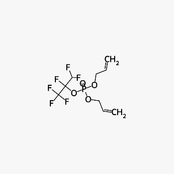 C=CCOP(=O)(OCC=C)OC(F)(C(F)F)C(F)(F)F